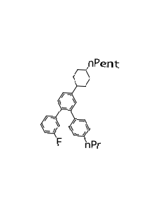 CCCCCC1CCC(c2ccc(-c3cccc(F)c3)c(-c3ccc(CCC)cc3)c2)CC1